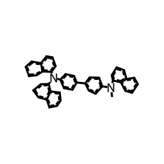 CN(c1ccc(-c2ccc(N(c3cccc4ccccc34)c3cccc4ccccc34)cc2)cc1)c1cccc2ccccc12